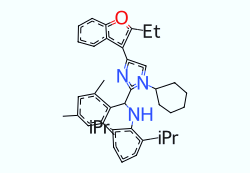 CCc1oc2ccccc2c1-c1cn(C2CCCCC2)c(C(Nc2c(C(C)C)cccc2C(C)C)c2c(C)cc(C)cc2C)n1